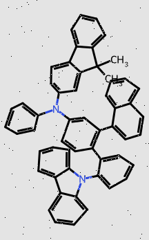 CC1(C)c2ccccc2-c2ccc(N(c3ccccc3)c3ccc(-c4ccccc4-n4c5ccccc5c5ccccc54)c(-c4cccc5ccccc45)c3)cc21